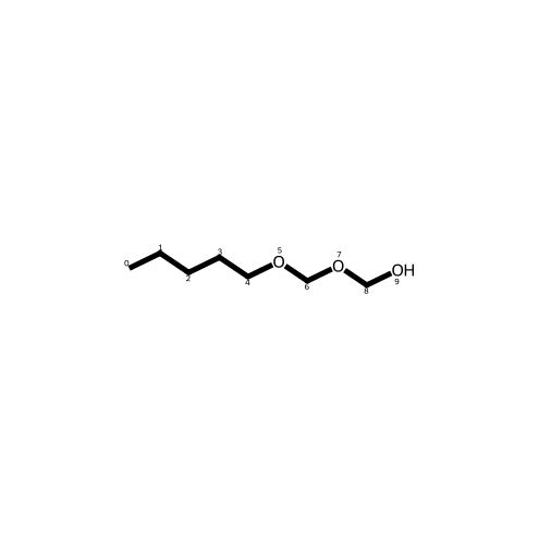 CCCCCOCOCO